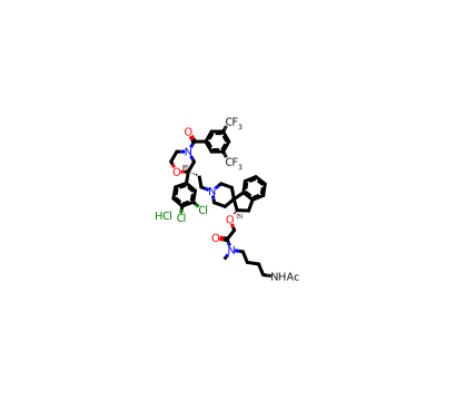 CC(=O)NCCCCN(C)C(=O)CO[C@H]1Cc2ccccc2C12CCN(CC[C@@]1(c3ccc(Cl)c(Cl)c3)CN(C(=O)c3cc(C(F)(F)F)cc(C(F)(F)F)c3)CCO1)CC2.Cl